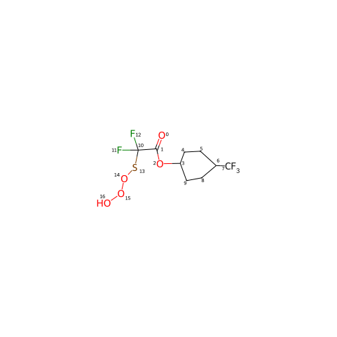 O=C(OC1CCC(C(F)(F)F)CC1)C(F)(F)SOOO